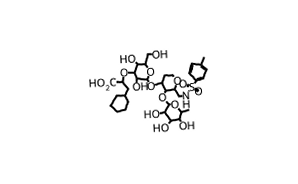 Cc1ccc(S(=O)(=O)NCC2OCCC(OC3OC(CO)C(O)C(OC(CC4CCCCC4)C(=O)O)C3O)C2OC2OC(C)C(O)C(O)C2O)cc1